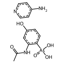 CC(=O)Nc1cc(O)ccc1[As](=O)(O)O.Nc1ccncc1